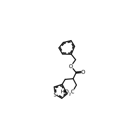 O=C(O)CC(Cc1ccsc1)C(=O)OCc1ccccc1